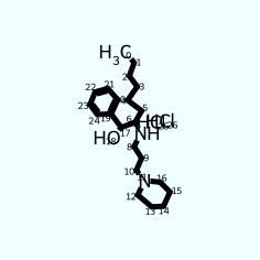 CCCCCCC(NCCCN1CCCCC1)C(O)c1ccccc1.Cl.Cl